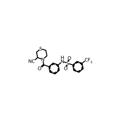 N#CC1CSCCN1C(=O)c1cccc(NS(=O)(=O)c2cccc(C(F)(F)F)c2)c1